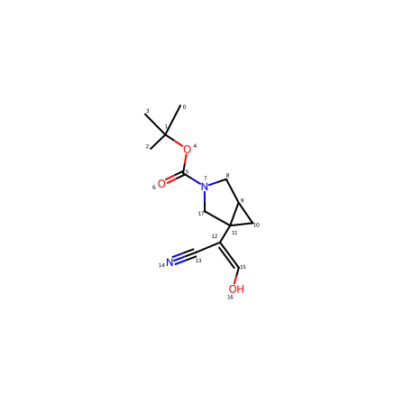 CC(C)(C)OC(=O)N1CC2CC2(/C(C#N)=C/O)C1